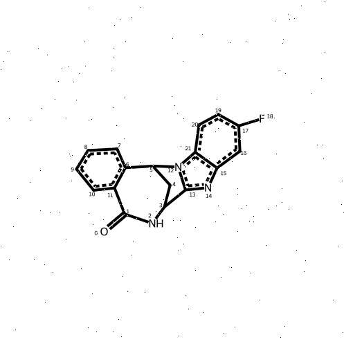 O=C1NC2CC(c3ccccc31)n1c2nc2cc(F)ccc21